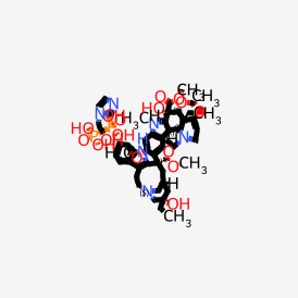 CC[C@]1(O)C[C@@H]2C[N@@](CCc3c([nH]c4ccccc34)[C@@](C(=O)OC)(c3cc4c(cc3OC)N(C)[C@H]3[C@@](O)(C(=O)OC)[C@H](OC(C)=O)[C@]5(CC)C=CCN6CC[C@]43[C@@H]65)C2)C1.O=P(O)(O)C(O)(Cn1ccnc1)P(=O)(O)O